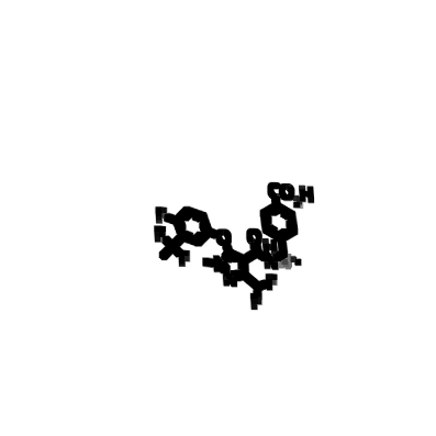 C[C@H](NC(=O)c1c(C(F)F)nn(C)c1Oc1ccc(F)c(C(C)(F)F)c1)c1ccc(C(=O)O)cc1